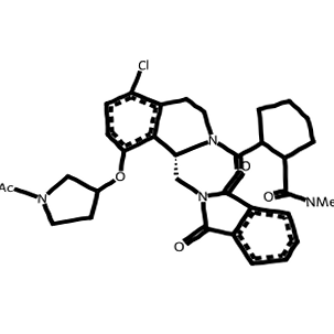 CNC(=O)C1CCCCC1C(=O)N1CCc2c(Cl)ccc(OC3CCN(C(C)=O)C3)c2[C@H]1CN1C(=O)c2ccccc2C1=O